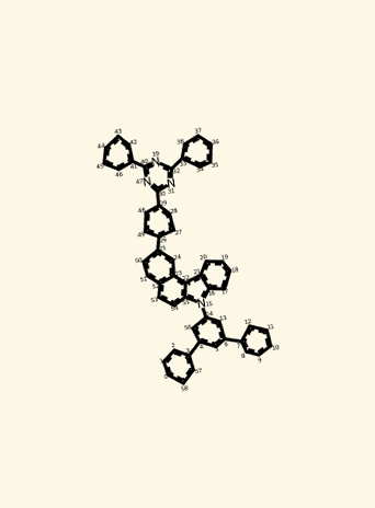 c1ccc(-c2cc(-c3ccccc3)cc(-n3c4ccccc4c4c5cc(-c6ccc(-c7nc(-c8ccccc8)nc(-c8ccccc8)n7)cc6)ccc5ccc43)c2)cc1